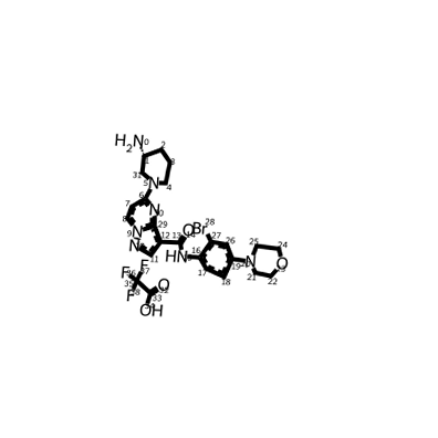 N[C@@H]1CCCN(c2ccn3ncc(C(=O)Nc4ccc(N5CCOCC5)cc4Br)c3n2)C1.O=C(O)C(F)(F)F